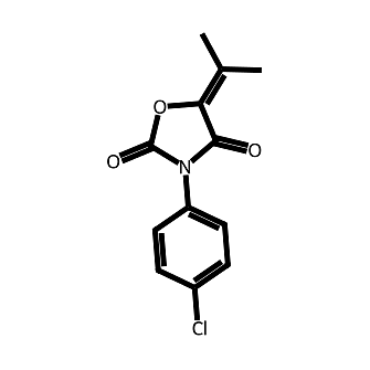 CC(C)=C1OC(=O)N(c2ccc(Cl)cc2)C1=O